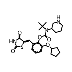 CC(C)(C)N(C(=O)Oc1c(C=C2SC(=O)NC2=O)cccc1OC1CCCC1)C1CCCNC1